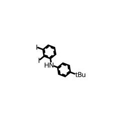 CC(C)(C)c1ccc(Nc2cccc(I)c2I)cc1